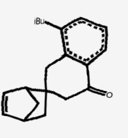 CCC(C)c1cccc2c1CC1(CC2=O)CC2C=CC1C2